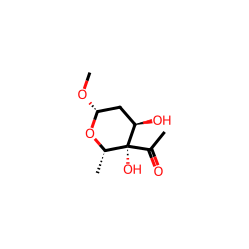 CO[C@@H]1C[C@@H](O)[C@@](O)(C(C)=O)[C@H](C)O1